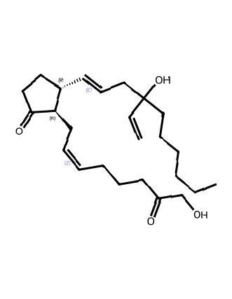 C=CC(O)(C/C=C/[C@H]1CCC(=O)[C@@H]1C/C=C\CCCC(=O)CO)CCCCCC